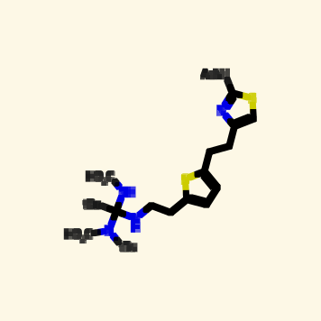 CC(=O)Nc1nc(CCc2ccc(CCNC(NC(=O)O)(N(C(=O)O)C(C)(C)C)C(C)(C)C)s2)cs1